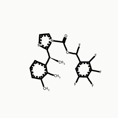 Cc1cccc([C@H](C)c2nccn2C(=O)OC(F)c2cc(F)c(F)c(F)c2F)c1C